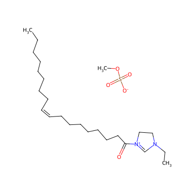 CCCCCCCC/C=C\CCCCCCCC(=O)[N+]1=CN(CC)CC1.COS(=O)(=O)[O-]